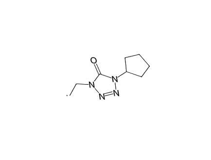 [CH2]Cn1nnn(C2CCCC2)c1=O